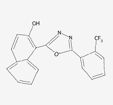 Oc1ccc2ccccc2c1-c1nnc(-c2ccccc2C(F)(F)F)o1